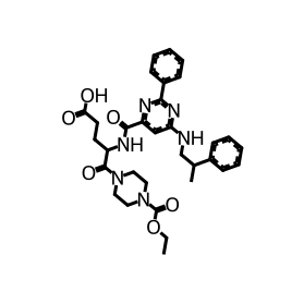 CCOC(=O)N1CCN(C(=O)C(CCC(=O)O)NC(=O)c2cc(NCC(C)c3ccccc3)nc(-c3ccccc3)n2)CC1